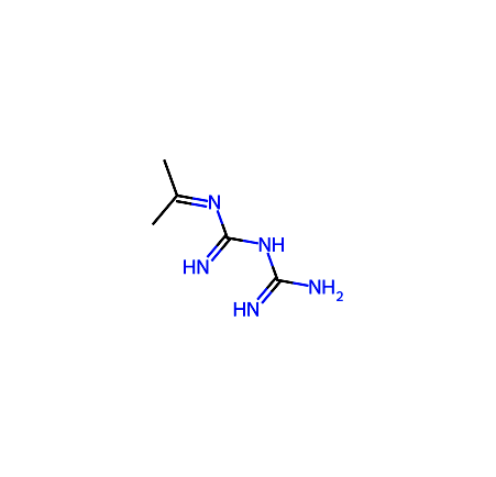 CC(C)=NC(=N)NC(=N)N